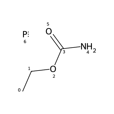 CCOC(N)=O.[P]